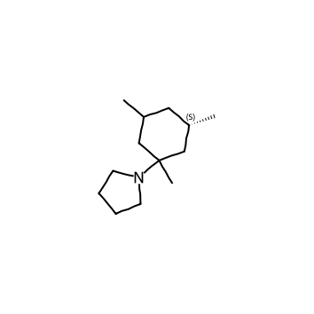 CC1C[C@H](C)CC(C)(N2CCCC2)C1